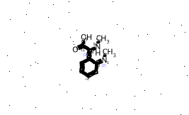 C/N=C1/C=CC=C/C1=C(/NC)C(=O)O